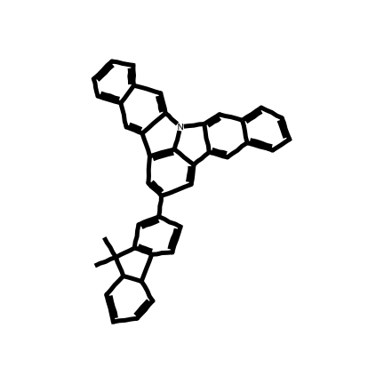 CC1(C)c2cc(-c3cc4c5cc6ccccc6cc5n5c6cc7ccccc7cc6c(c3)c45)ccc2C2C=CC=CC21